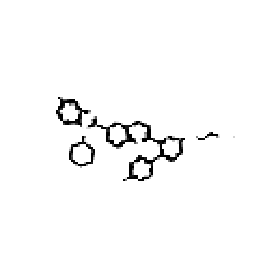 COCCOc1ccc(-c2ccc(Cl)cc2)c(-c2ccc3cc(-c4nc5cc(C(=O)O)ccc5n4C4CCCCC4)ccc3n2)c1